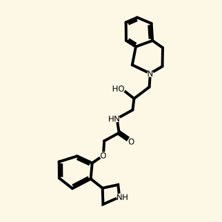 O=C(COc1ccccc1C1CNC1)NCC(O)CN1CCc2ccccc2C1